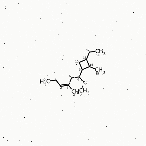 CC/C=C(/C)CC(SC)C1CC(CC)C1C